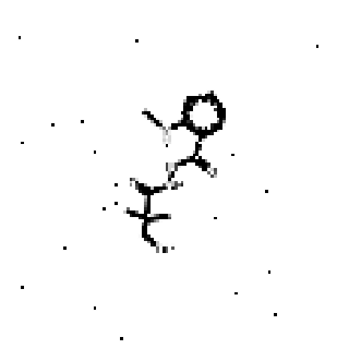 CNc1ccccc1C(=O)NNC(=O)C(C)(C)CO